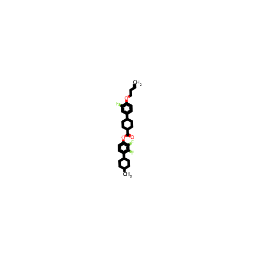 C=CCCOc1ccc(C2CCC(C(=O)Oc3ccc(C4CCC(C)CC4)c(F)c3F)CC2)cc1F